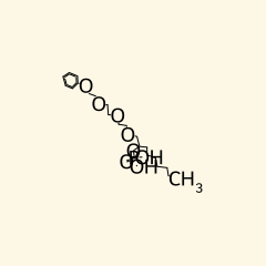 CCCCCCCC(COCCOCCOCCOc1ccccc1)OP(=O)(O)O